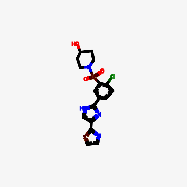 O=S(=O)(c1cc(-c2nc(-c3nccs3)c[nH]2)ccc1Cl)N1CCC(O)CC1